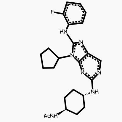 CC(=O)N[C@H]1CC[C@H](Nc2ncc3nc(Nc4ccccc4F)n(C4CCCC4)c3n2)CC1